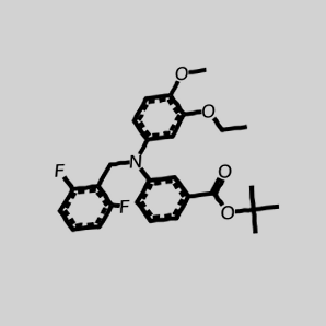 CCOc1cc(N(Cc2c(F)cccc2F)c2cccc(C(=O)OC(C)(C)C)c2)ccc1OC